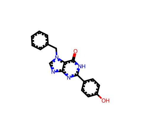 O=c1[nH]c(-c2ccc(O)cc2)nc2ncn(Cc3ccccc3)c12